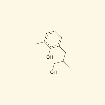 Cc1cccc(CC(C)CO)c1O